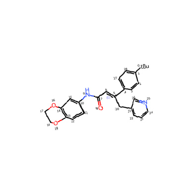 CC(C)(C)c1ccc(/C(=C/C(=O)Nc2ccc3c(c2)OCCO3)Cc2cccnc2)cc1